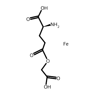 N[C@@H](CCC(=O)OCC(=O)O)C(=O)O.[Fe]